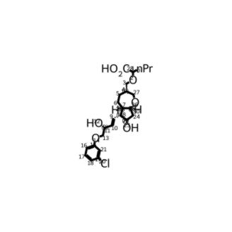 CCCC(OC[C@@H]1CC[C@@H]2[C@@H](C=C[C@@H](O)COc3cccc(Cl)c3)[C@H](O)C[C@@H]2OC1)C(=O)O